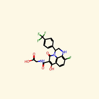 O=C(O)CNC(=O)c1c(O)c2ccc(F)c3c2n(c1=O)C(c1ccc(C(F)(F)F)cc1)CN3